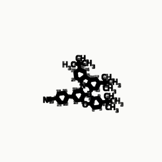 CC(C)(C)c1ccc2c(c1)B1c3c(cc(-c4ccc(C#N)cc4)cc3-n3c4ccc(C(C)(C)C)cc4c4cc(C(C)(C)C)cc1c43)O2